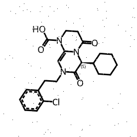 O=C1[C@H](C2CCCCC2)N2C(=O)CCN(C(=O)O)C2=CN1CCc1ccccc1Cl